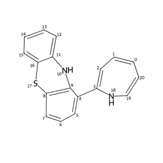 C1=CC=C(c2cccc3c2Nc2ccccc2S3)NC=C1